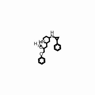 COC(COc1ccccc1)CC1CC(NC2CC2c2ccccc2)CCN1